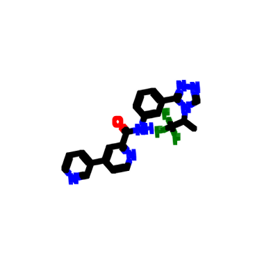 CC(n1cnnc1-c1cccc(NC(=O)c2cc(-c3cccnc3)ccn2)c1)C(F)(F)F